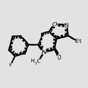 CCc1noc2cc(-c3cccc(F)c3)n(C)c(=O)c12